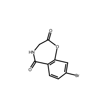 O=C1CNC(=O)c2ccc(Br)cc2O1